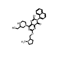 CCc1nc2c(N3CCNC(CC#N)C3)nc(OCC3CCCN3C)nc2c(=O)n1-c1cccc2ccccc12